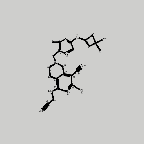 Cc1nc(OC2CC(F)(F)C2)cnc1CN1CCc2c(NCC#N)nc(Cl)c(C#N)c2C1